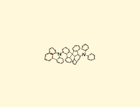 c1ccc(-c2ccccc2N(c2ccccc2)c2cccc3c2-c2ccccc2C32c3ccccc3-c3c(N(c4ccccc4)c4ccccc4)cc4ccccc4c32)cc1